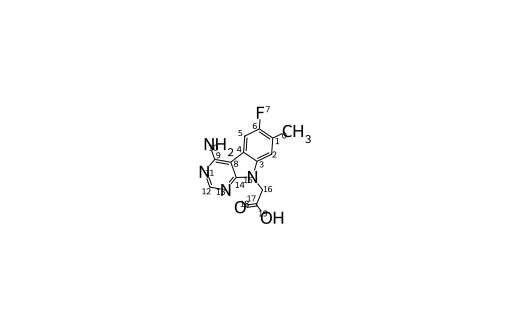 Cc1cc2c(cc1F)c1c(N)ncnc1n2CC(=O)O